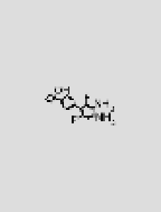 Nc1cc(F)c(-c2ccc(C3(O)CCC3)cc2)c(F)c1N